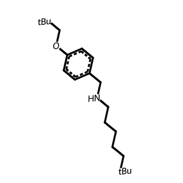 CC(C)(C)CCCCCNCc1ccc(OCC(C)(C)C)cc1